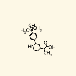 CC(C(=O)O)C1CCNC(c2ccc([Si](C)(C)C)cc2)C1